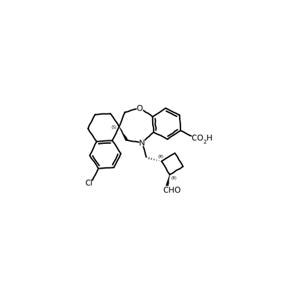 O=C[C@@H]1CC[C@H]1CN1C[C@@]2(CCCc3cc(Cl)ccc32)COc2ccc(C(=O)O)cc21